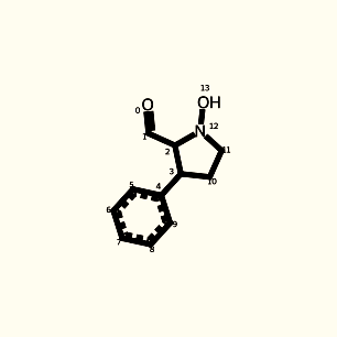 O=CC1C(c2ccccc2)CCN1O